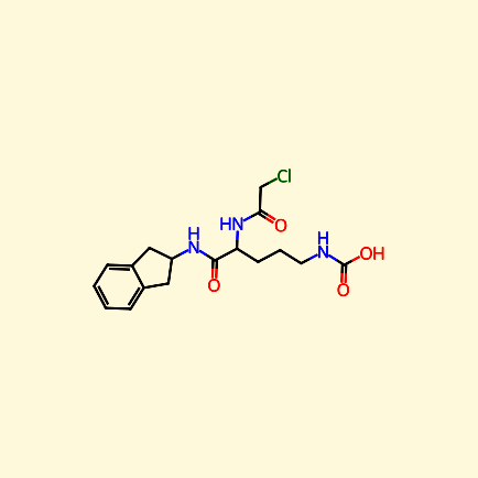 O=C(O)NCCCC(NC(=O)CCl)C(=O)NC1Cc2ccccc2C1